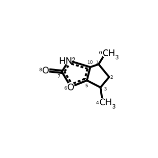 CC1CC(C)c2oc(=O)[nH]c21